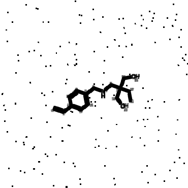 C=Cc1ccc(CNCC(CC)(CO)CO)cc1